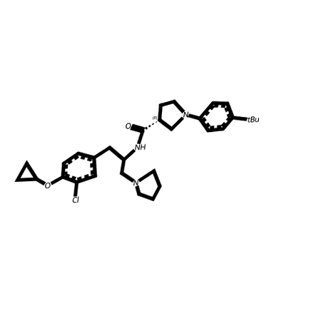 CC(C)(C)c1ccc(N2CC[C@@H](C(=O)NC(Cc3ccc(OC4CC4)c(Cl)c3)CN3CCCC3)C2)cc1